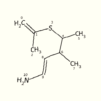 C=C(C)SC(C)C(C)C=CN